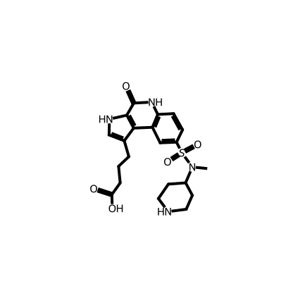 CN(C1CCNCC1)S(=O)(=O)c1ccc2[nH]c(=O)c3[nH]cc(CCCC(=O)O)c3c2c1